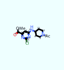 COC(=O)c1cc(NC2CCN(C(C)=O)CC2)nc(Cl)n1